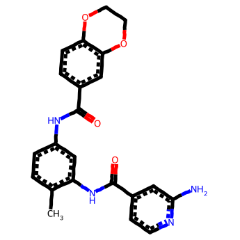 Cc1ccc(NC(=O)c2ccc3c(c2)OCCO3)cc1NC(=O)c1ccnc(N)c1